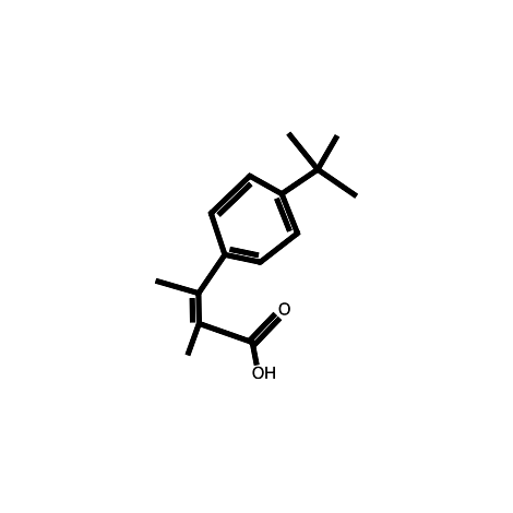 CC(C(=O)O)=C(C)c1ccc(C(C)(C)C)cc1